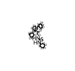 C[C@@H](CCNC(=S)Nc1ccccc1)P1N(c2ccccc2)CCN1c1ccccc1